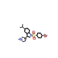 CC(C)c1ccc2c(c1)c([C@H]1CCN(C)C1)cn2S(=O)(=O)c1ccc(Br)cc1